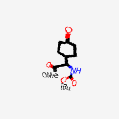 COC(=O)C(NC(=O)OC(C)(C)C)C1CCC(=O)CC1